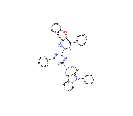 c1ccc(-c2nc(-c3ccc4c(c3)c3ccccc3n4-c3ccccc3)nc(-c3nc(-c4ccccc4)c4oc5ccccc5c4n3)n2)cc1